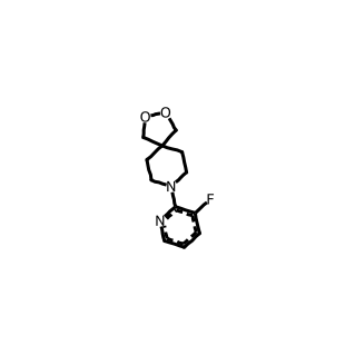 Fc1cccnc1N1CCC2(CC1)COOC2